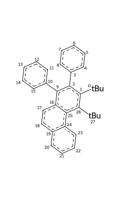 CC(C)(C)c1c(-c2ccccc2)c(-c2ccccc2)c2ccc3ccccc3c2c1C(C)(C)C